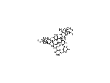 CC(C)(C)c1ccc(N2c3ccc(C4CCCCC4)cc3B3c4cc(C5CCCCC5)ccc4N(c4ccc(C(C)(C)C)cc4)c4cccc2c43)cc1